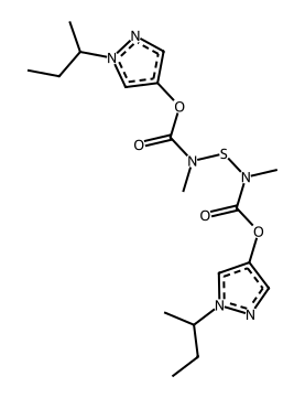 CCC(C)n1cc(OC(=O)N(C)SN(C)C(=O)Oc2cnn(C(C)CC)c2)cn1